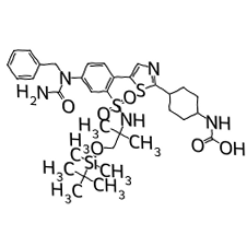 CC(C)(CO[Si](C)(C)C(C)(C)C)NS(=O)(=O)c1cc(N(Cc2ccccc2)C(N)=O)ccc1-c1cnc(C2CCC(NC(=O)O)CC2)s1